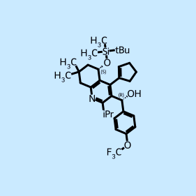 CC(C)c1nc2c(c(C3=CCCC3)c1[C@H](O)c1ccc(OC(F)(F)F)cc1)[C@@H](O[Si](C)(C)C(C)(C)C)CC(C)(C)C2